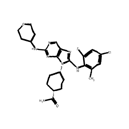 Cc1cc(Cl)cc(F)c1Nc1nc2cnc(NC3CCOCC3)nc2n1[C@H]1CC[C@@H](C(N)=O)CC1